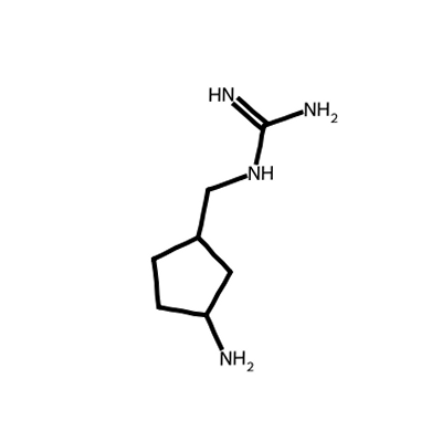 N=C(N)NCC1CCC(N)C1